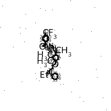 CCN(CCCOc1ccc(C(C)N2CCN(C(=O)c3ccc(C(F)(F)F)cc3)CC2)c(C)c1C)C1CCCCC1